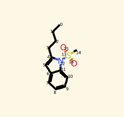 CCCCc1cc2ccccc2n1S(C)(=O)=O